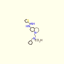 N=C(Nc1ccc2c(c1)CCCCN2CCN(Cc1ccccc1)C(=O)O)c1cccs1